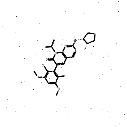 COc1cc(OC)c(Cl)c(-c2cc3cnc(N[C@@H]4COC[C@@H]4C)nc3n(C(C)C)c2=O)c1Cl